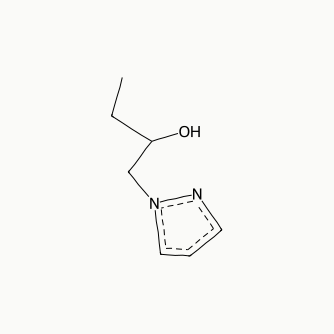 CCC(O)Cn1cccn1